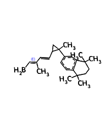 B/C=C(\C)C=CC1CC1(C)c1ccc2c(c1)C(C)(C)CCC2(C)C